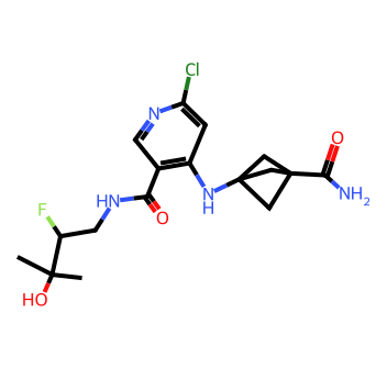 CC(C)(O)C(F)CNC(=O)c1cnc(Cl)cc1NC12CC(C(N)=O)(C1)C2